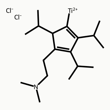 CC(C)C1=[C]([Ti+2])C(C(C)C)C(CCN(C)C)=C1C(C)C.[Cl-].[Cl-]